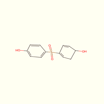 O=S(=O)(C1=CCC(O)C=C1)c1ccc(O)cc1